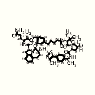 Cc1ncsc1-c1ccc([C@H](C)NC(=O)[C@@H]2C[C@@H](O)CN2C(=O)[C@@H](NC(=O)CCCCc2ccc(CO[C@H](C)[C@H](CCC(N)=O)NC(=O)[C@@H]3Cc4cccc5c4N3C(=O)[C@@H](N)CC5)cc2)C(C)(C)C)cc1